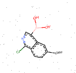 COc1ccc2c(Cl)ncc(B(O)O)c2c1